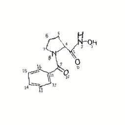 O=C(NO)C1CCCN1C(=O)c1ccccc1